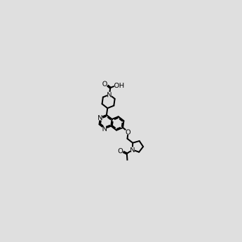 CC(=O)N1CCCC1COc1ccc2c(C3CCN(C(=O)O)CC3)ncnc2c1